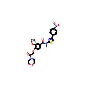 COc1cc(C(=O)Nc2nc(-c3ccc([N+](=O)[O-])cc3)cs2)ccc1OCC(=O)N1CCOCC1